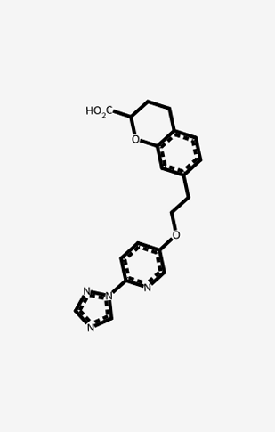 O=C(O)C1CCc2ccc(CCOc3ccc(-n4cncn4)nc3)cc2O1